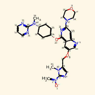 C=[N+]([O-])c1ncc(COc2cnc3cc(N4CCOCC4)nc(O[C@H]4CC[C@@H](N(C)c5ncccn5)CC4)c3c2)n1C